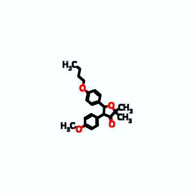 CCCCOc1ccc(C2OC(C)(C)C(=O)C2c2ccc(OC)cc2)cc1